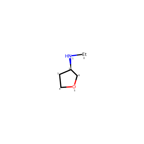 CCN[C@@H]1CCOC1